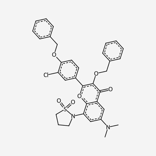 CN(C)c1cc(N2CCCS2(=O)=O)c2oc(-c3ccc(OCc4ccccc4)c(Cl)c3)c(OCc3ccccc3)c(=O)c2c1